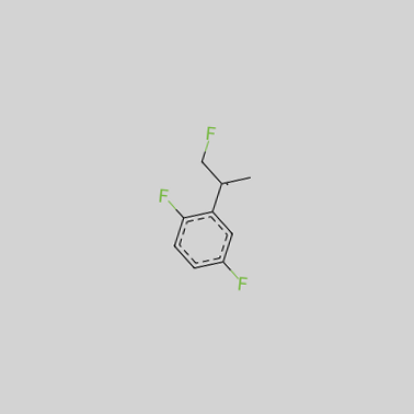 C[C](CF)c1cc(F)ccc1F